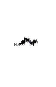 [2H]C([2H])([2H])Oc1cnc(F)c(/C=N/NC(=O)c2cncc(-c3ccc(OCC)nc3)n2)c1